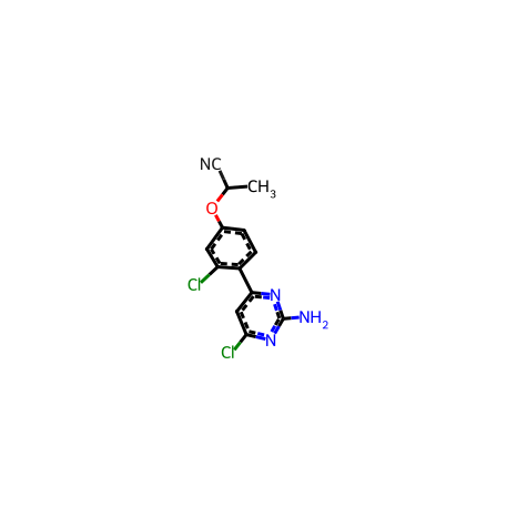 CC(C#N)Oc1ccc(-c2cc(Cl)nc(N)n2)c(Cl)c1